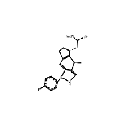 CCCC(C[C@H]1CCC2=C1[C@@H](C)C1=CNN(c3ccc(F)cc3)C1=C2)NC